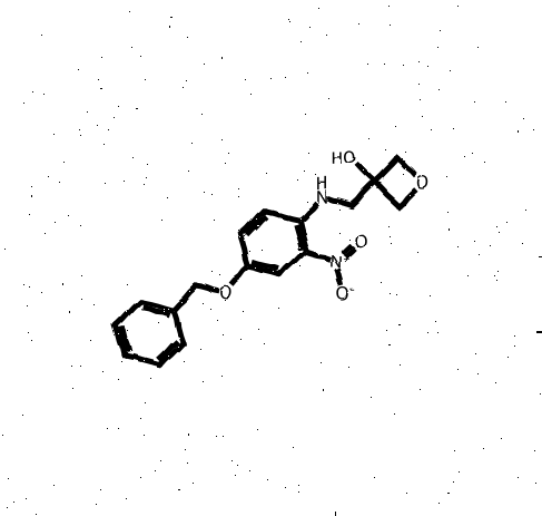 O=[N+]([O-])c1cc(OCc2ccccc2)ccc1NCC1(O)COC1